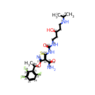 CC(C)NCCC(O)CCNC(=O)Nc1snc(OC(C)c2c(F)ccc(F)c2F)c1C(N)=O